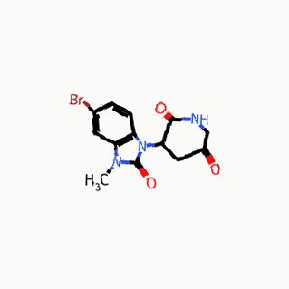 Cn1c(=O)n(C2CC(=O)CNC2=O)c2ccc(Br)cc21